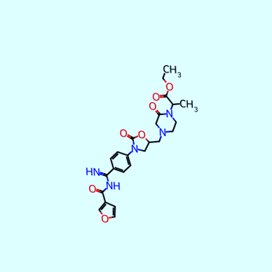 CCOC(=O)C(C)N1CCN(CC2CN(c3ccc(C(=N)NC(=O)c4ccoc4)cc3)C(=O)O2)CC1=O